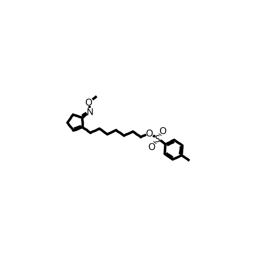 CON=C1CCC=C1CCCCCCCOS(=O)(=O)c1ccc(C)cc1